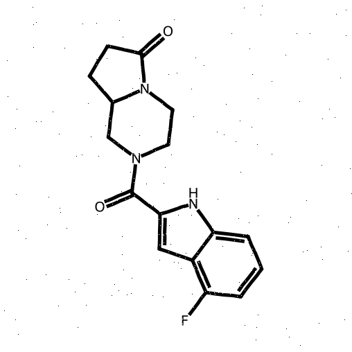 O=C(c1cc2c(F)cccc2[nH]1)N1CCN2C(=O)CCC2C1